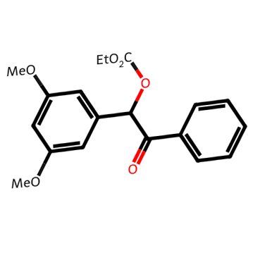 CCOC(=O)OC(C(=O)c1ccccc1)c1cc(OC)cc(OC)c1